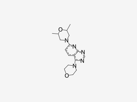 CC1CN(c2ccc3c(N4CCOCC4)ncnc3n2)CC(C)O1